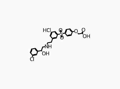 Cl.O=C(O)COc1ccc(S(=O)(=O)c2cccc(CCNC[C@H](O)c3cccc(Cl)c3)c2)cc1